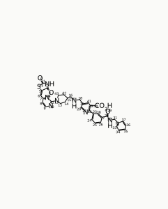 O=C1NC(=O)/C(=C\c2ccnc(N3CCC(CNCc4cnc(-c5cccc(C(=O)NCc6ccccc6)c5)c(C(=O)O)c4)CC3)n2)S1